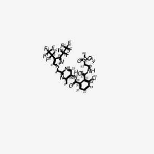 Cc1nc(Cn2cc(C(F)(F)C(F)(F)F)c(C(F)(F)C(F)(F)F)n2)ncc1NC(=O)c1cccc(Cl)c1C(=O)N[C@@H](C)CS(C)(=O)=O